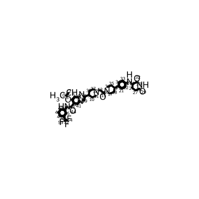 CC(C)Oc1cc2nc(C3CCN(CC(=O)N4CCC(c5ccc(NC6CCC(=O)NC6=O)cc5)CC4)CC3)cn2cc1C(=O)Nc1cccc(C(F)(F)F)c1